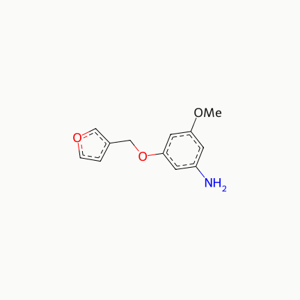 COc1cc(N)cc(OCc2ccoc2)c1